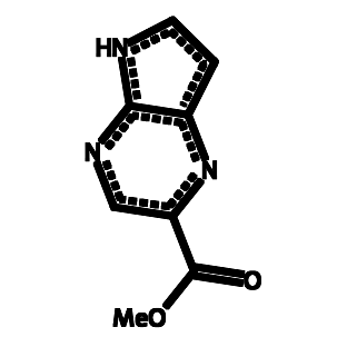 COC(=O)c1cnc2[nH]ccc2n1